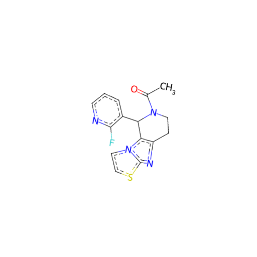 CC(=O)N1CCc2nc3sccn3c2C1c1cccnc1F